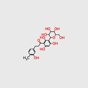 Cc1ccc(CCC(=O)c2c(O)cc(O)c(C3OC(CO)C(O)C(O)C3O)c2O)cc1O